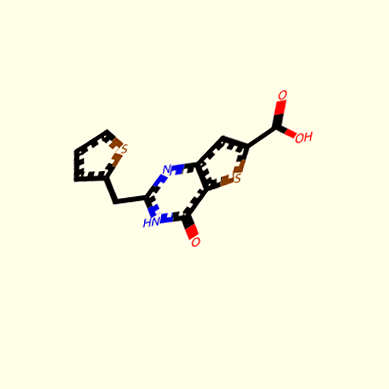 O=C(O)c1cc2nc(Cc3cccs3)[nH]c(=O)c2s1